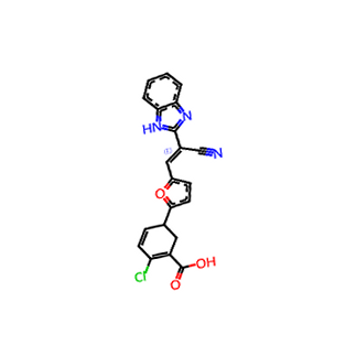 N#C/C(=C\c1ccc(C2C=CC(Cl)=C(C(=O)O)C2)o1)c1nc2ccccc2[nH]1